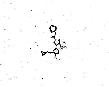 COc1ccc([C@@H]2CN(C(=O)[CH]c3ccccc3)C[C@@]2(C)[C@@H](C)O)cc1OCC1CC1